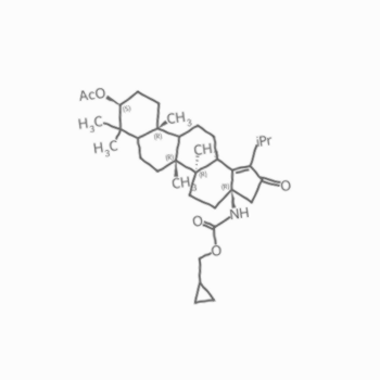 CC(=O)O[C@H]1CC[C@@]2(C)C(CC[C@]3(C)C2CCC2C4=C(C(C)C)C(=O)C[C@]4(NC(=O)OCC4CC4)CC[C@]23C)C1(C)C